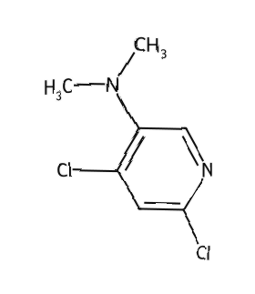 CN(C)c1cnc(Cl)cc1Cl